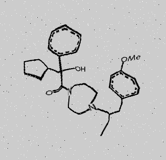 COc1ccc(CC(C)N2CCN(C(=O)C(O)(c3ccccc3)C3CCCC3)CC2)cc1